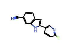 N#Cc1ccc2cc(-c3ccc(F)nc3)[nH]c2c1